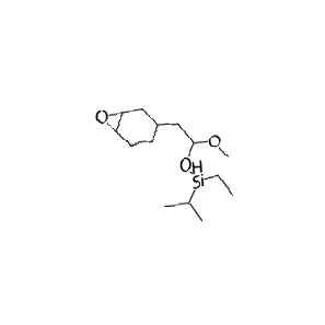 CC[SiH](OC(CC1CCC2OC2C1)OC)C(C)C